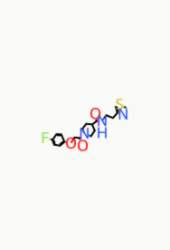 O=C(NCCc1cscn1)C1CCN(C(=O)COc2ccc(F)cc2)CC1